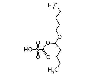 CCCCCOC(CCCC)OC(=O)S(=O)(=O)O